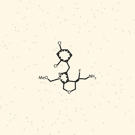 COCn1nc(Cc2ccc(Cl)cc2Cl)c2c1COC/C2=C(/F)CN